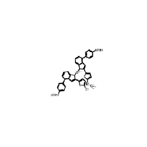 CCCCCCc1ccc(-c2cccc3c2C=C(c2ccc(CC)s2)[CH]3[Zr+2][CH]2C(c3ccc(CC)s3)=Cc3c(-c4ccc(CCCCCC)cc4)cccc32)cc1.[Cl-].[Cl-]